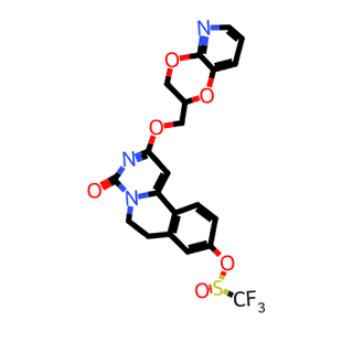 O=c1nc(OCC2COc3ncccc3O2)cc2n1CCc1cc(OS(=O)C(F)(F)F)ccc1-2